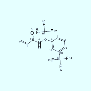 C=CC(=O)NC(c1cccc(C(F)(F)F)c1)C(F)(F)F